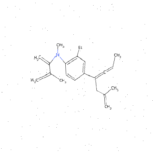 C=C(C)CC(=C=CC)c1ccc(N(C)C(=C)C(=C)C)c(CC)c1